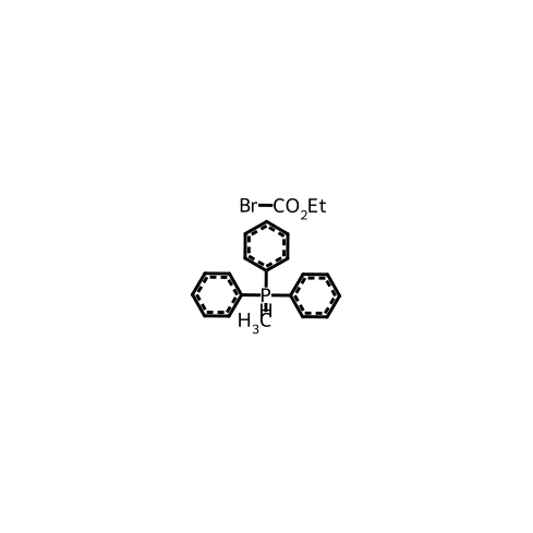 CCOC(=O)Br.C[PH](c1ccccc1)(c1ccccc1)c1ccccc1